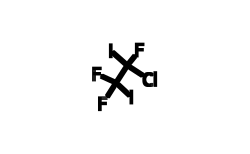 FC(F)(I)C(F)(Cl)I